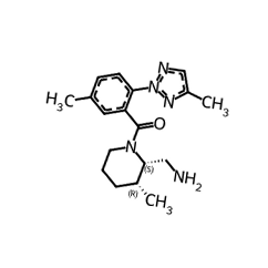 Cc1ccc(-n2ncc(C)n2)c(C(=O)N2CCC[C@@H](C)[C@H]2CN)c1